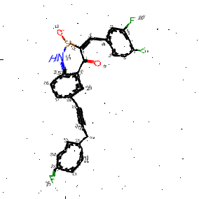 O=C1/C(=C\c2ccc(Cl)c(F)c2)[S+]([O-])Nc2ccc(C#CCc3ccc(F)cc3)cc21